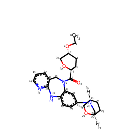 CCO[C@@H]1CC[C@@H](C(=O)N2Cc3cccnc3Nc3ccc(N4C[C@H]5CC[C@@H]4CO5)cc32)OC1